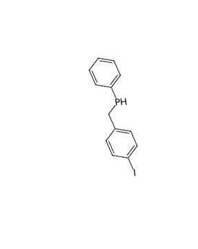 Ic1ccc(CPc2ccccc2)cc1